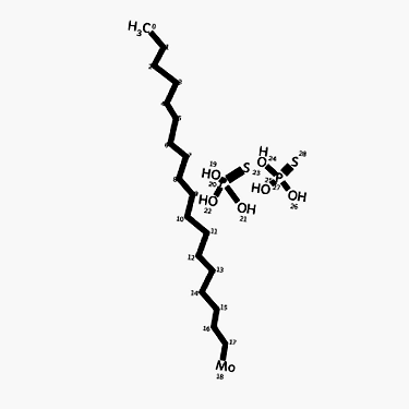 CCCCCCCCCCCCCCCCC[CH2][Mo].OP(O)(O)=S.OP(O)(O)=S